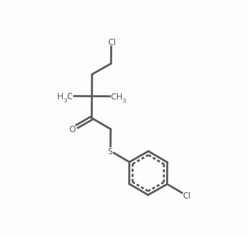 CC(C)(CCCl)C(=O)CSc1ccc(Cl)cc1